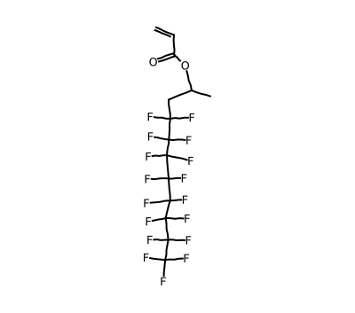 C=CC(=O)OC(C)CC(F)(F)C(F)(F)C(F)(F)C(F)(F)C(F)(F)C(F)(F)C(F)(F)C(F)(F)F